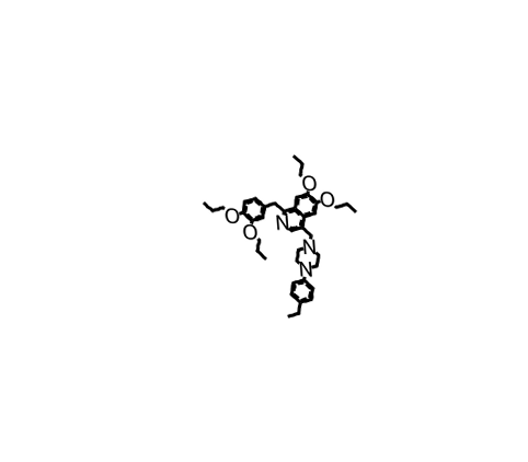 CCCOc1ccc(Cc2ncc(CN3CCN(c4ccc(CC)cc4)CC3)c3cc(OCCC)c(OCCC)cc23)cc1OCCC